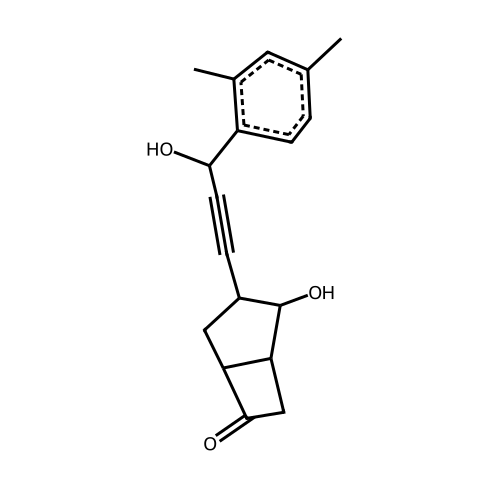 Cc1ccc(C(O)C#CC2CC3C(=O)CC3C2O)c(C)c1